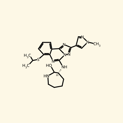 CC(C)Sc1cccc2c1nc(N[C@@H]1CCCCNC1O)n1nc(-c3cnn(C)c3)nc21